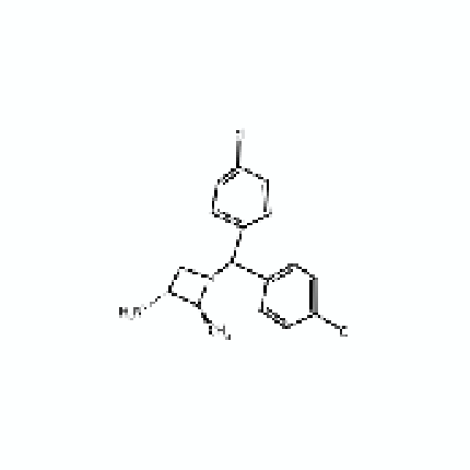 C[C@H]1[C@H](N)CN1C(c1ccc(Cl)cc1)c1ccc(Cl)cc1